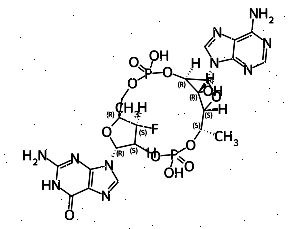 C[C@@H]1OP(=O)(O)O[C@H]2[C@H](n3cnc4c(=O)[nH]c(N)nc43)O[C@](C)(COP(=O)(O)O[C@@H]3[C@H](O)[C@@H]1O[C@H]3n1cnc3c(N)ncnc31)[C@H]2F